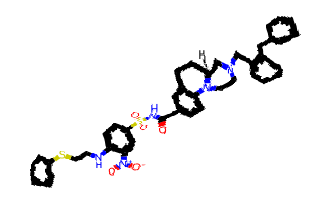 O=C(NS(=O)(=O)c1ccc(NCCSc2ccccc2)c([N+](=O)[O-])c1)c1ccc2c(c1)CC[C@H]1CN(Cc3ccccc3Cc3ccccc3)CCN21